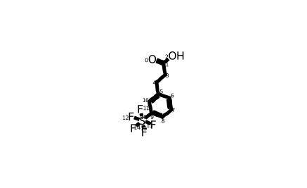 O=C(O)CCc1cccc(S(F)(F)(F)(F)F)c1